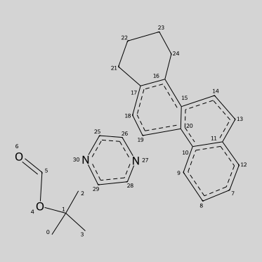 CC(C)(C)OC=O.c1ccc2c(c1)ccc1c3c(ccc12)CCCC3.c1cnccn1